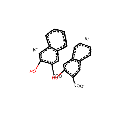 O=C([O-])c1cc2ccccc2cc1O.O=C([O-])c1cc2ccccc2cc1O.[K+].[K+]